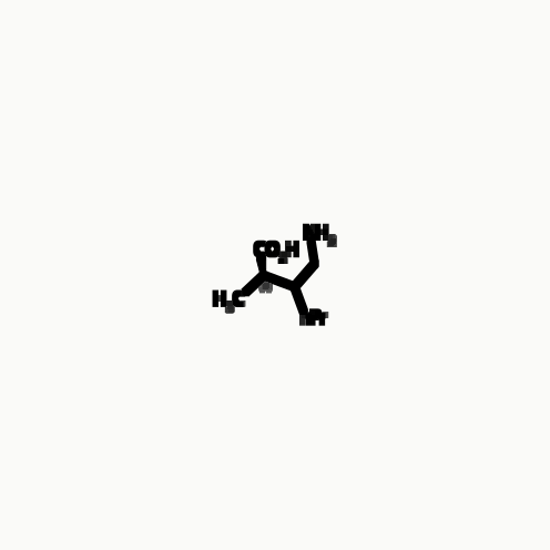 CCCC(CN)[C@@H](C)C(=O)O